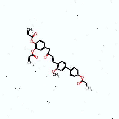 C=CC(=O)Oc1ccc(-c2ccc(/C=C/C(=O)Cc3ccc(OC(=O)C=C)c(OC(=O)C=C)c3)c(OC)c2)cc1